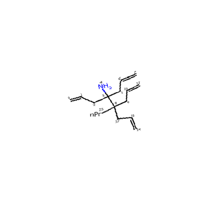 C=CCC(N)(CC=C)C(CC=C)(CC=C)CCC